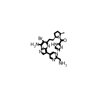 C[C@@H]1CC[C@H](CCc2nc3c(-c4cnc(CN)nc4)cnn3c(N)c2Br)N1C(=O)c1nnc[nH]1